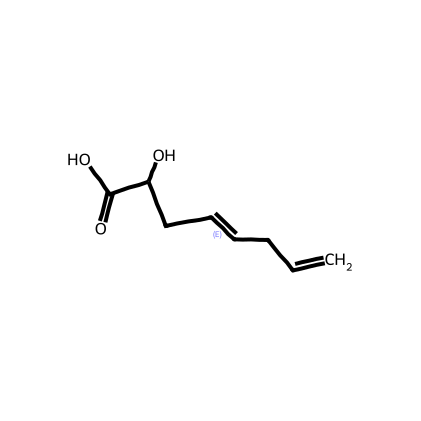 C=CC/C=C/CC(O)C(=O)O